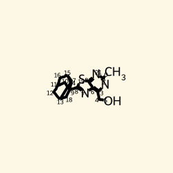 Cc1nc(CO)c2nc(C34CC5CC(CC(C5)C3)C4)sc2n1